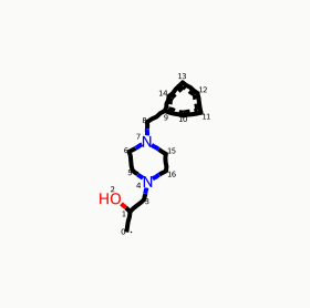 [CH2]C(O)CN1CCN(Cc2ccccc2)CC1